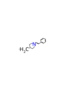 [CH2]C1CCN(C=Cc2ccccc2)CC1